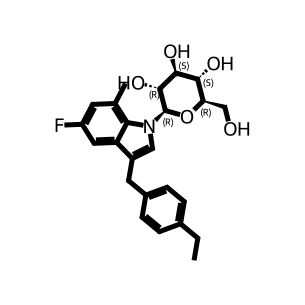 CCc1ccc(Cc2cn([C@@H]3O[C@H](CO)[C@@H](O)[C@H](O)[C@H]3O)c3c(C)cc(F)cc23)cc1